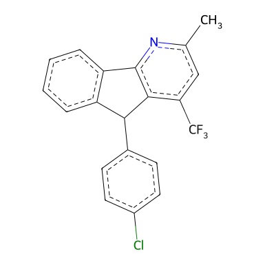 Cc1cc(C(F)(F)F)c2c(n1)-c1ccccc1C2c1ccc(Cl)cc1